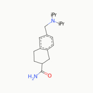 CC(C)N(Cc1ccc2c(c1)CCC(C(N)=O)C2)C(C)C